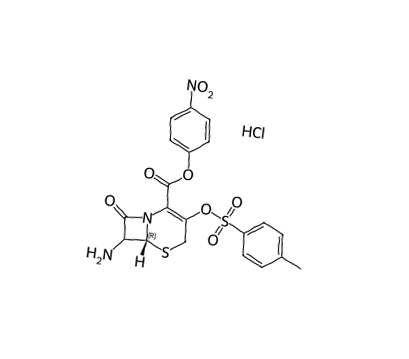 Cc1ccc(S(=O)(=O)OC2=C(C(=O)Oc3ccc([N+](=O)[O-])cc3)N3C(=O)C(N)[C@H]3SC2)cc1.Cl